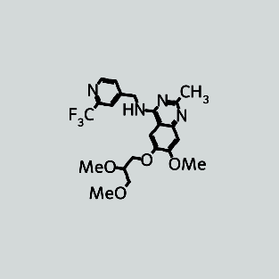 COCC(COc1cc2c(NCc3ccnc(C(F)(F)F)c3)nc(C)nc2cc1OC)OC